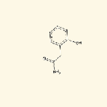 NC(=O)Cc1ccc[c]c1O